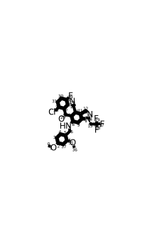 COc1ccc(CNc2cc3c(cnn3CC(F)(F)F)c(C#N)c2C(=O)c2cc(F)ccc2Cl)c(OC)c1